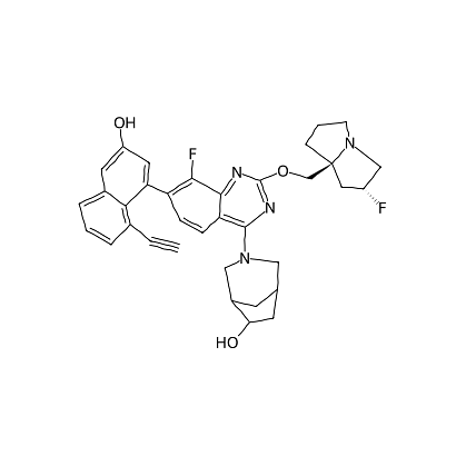 C#Cc1cccc2cc(O)cc(-c3ccc4c(N5CC6CC(O)C(C6)C5)nc(OC[C@@]56CCCN5C[C@H](F)C6)nc4c3F)c12